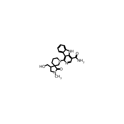 CN1CC(CO)C2(CCCN(c3ncc(C(N)=O)c4[nH]c5ccccc5c34)C2)C1=O